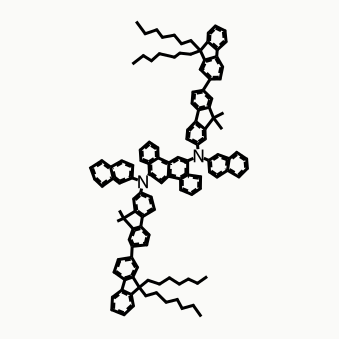 CCCCCCCC1(CCCCCCC)c2ccccc2-c2ccc(-c3ccc4c(c3)C(C)(C)c3cc(N(c5ccc6ccccc6c5)c5cc6c7ccccc7c(N(c7ccc8c(c7)C(C)(C)c7cc(-c9ccc%10c(c9)C(CCCCCCC)(CCCCCCC)c9ccccc9-%10)ccc7-8)c7ccc8ccccc8c7)cc6c6ccccc56)ccc3-4)cc21